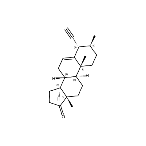 C#C[C@H]1C2=CC[C@@H]3[C@H](CC[C@]4(C)C(=O)CC[C@@H]34)[C@@]2(C)CC[C@@H]1C